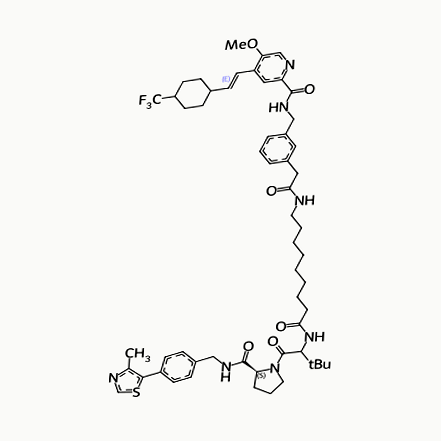 COc1cnc(C(=O)NCc2cccc(CC(=O)NCCCCCCCCC(=O)NC(C(=O)N3CCC[C@H]3C(=O)NCc3ccc(-c4scnc4C)cc3)C(C)(C)C)c2)cc1/C=C/C1CCC(C(F)(F)F)CC1